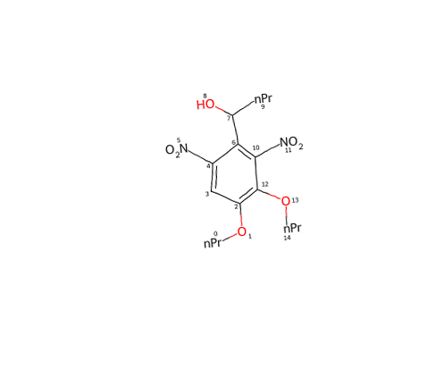 CCCOc1cc([N+](=O)[O-])c(C(O)CCC)c([N+](=O)[O-])c1OCCC